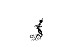 CCCCCCCCN(C)C(C=O)n1cc(Cc2cn(C)c(SCc3ccc(F)cc3)nc2=O)cnc1=O